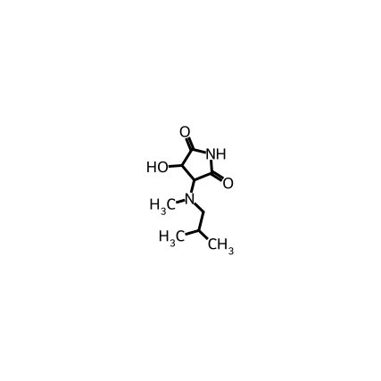 CC(C)CN(C)C1C(=O)NC(=O)C1O